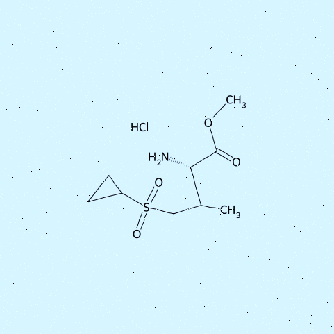 COC(=O)[C@@H](N)C(C)CS(=O)(=O)C1CC1.Cl